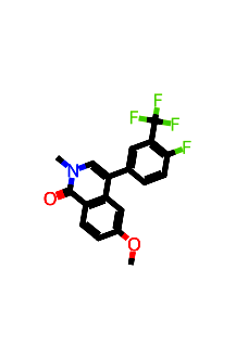 COc1ccc2c(=O)n(C)cc(-c3ccc(F)c(C(F)(F)F)c3)c2c1